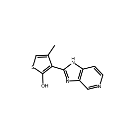 Cc1csc(O)c1-c1nc2cnccc2[nH]1